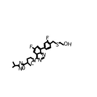 CC(C)c1noc(C2CCN(c3ncnc4c(-c5ccc(CSCCO)c(F)c5)cc(F)cc34)CC2)n1